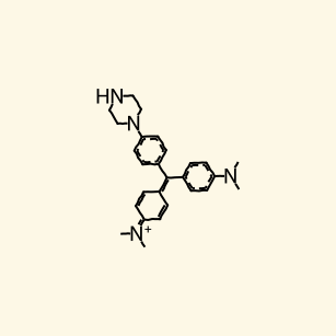 CN(C)c1ccc(C(=C2C=CC(=[N+](C)C)C=C2)c2ccc(N3CCNCC3)cc2)cc1